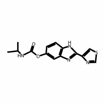 CC(C)NC(=O)Oc1ccc2[nH]c(-c3cscn3)nc2c1